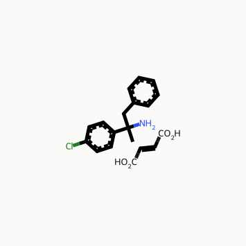 CC(N)(Cc1ccccc1)c1ccc(Cl)cc1.O=C(O)C=CC(=O)O